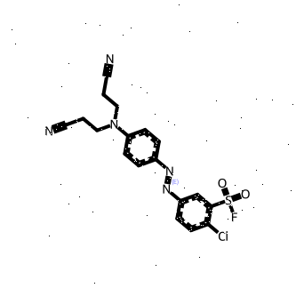 N#CCCN(CCC#N)c1ccc(/N=N/c2ccc(Cl)c(S(=O)(=O)F)c2)cc1